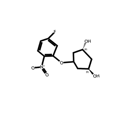 O=[N+]([O-])c1ccc(F)cc1OC1C[C@H](O)C[C@@H](O)C1